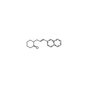 O=C1CCCCC1C/C=C/c1ccc2ccccc2c1